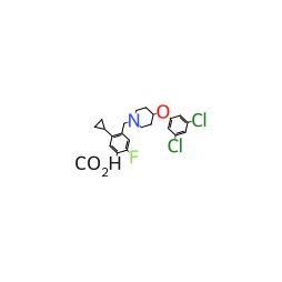 O=C(O)c1cc(C2CC2)c(CN2CCC(Oc3cc(Cl)cc(Cl)c3)CC2)cc1F